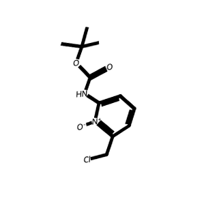 CC(C)(C)OC(=O)Nc1cccc(CCl)[n+]1[O-]